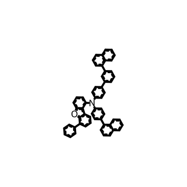 c1ccc(-c2cccc3c2oc2cccc(N(c4ccc(-c5cccc(-c6cccc7ccccc67)c5)cc4)c4ccc(-c5cccc6ccccc56)cc4)c23)cc1